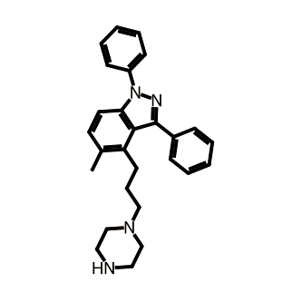 Cc1ccc2c(c(-c3ccccc3)nn2-c2ccccc2)c1CCCN1CCNCC1